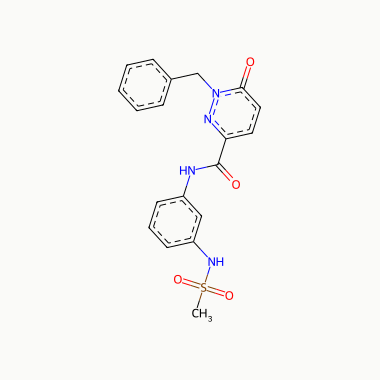 CS(=O)(=O)Nc1cccc(NC(=O)c2ccc(=O)n(Cc3ccccc3)n2)c1